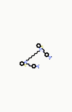 CN(C)c1ccc(/C=C/c2sc3ccccc3[n+]2CCCCCCCCCC[n+]2c(/C=C/c3ccc(N(C)C)cc3)sc3ccccc32)cc1